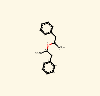 CCCCCCCCCC(Cc1ccccc1)OC(CCCCCCCCC)Cc1ccccc1